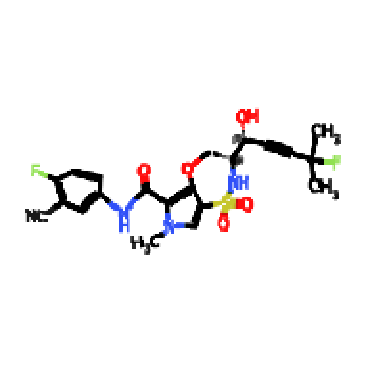 Cn1cc2c(c1C(=O)Nc1ccc(F)c(C#N)c1)OC[C@H]([C@H](O)C#CC(C)(C)F)NS2(=O)=O